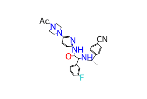 CC(=O)N1CCN(c2ccc(NC(=O)[C@@H](NC[C@@H](C)c3ccc(C#N)cc3)c3cccc(F)c3)nc2)CC1